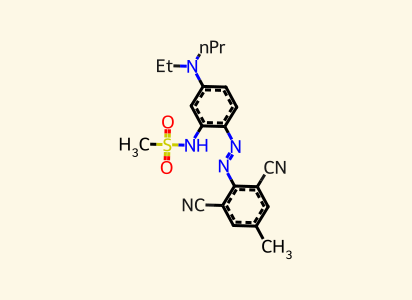 CCCN(CC)c1ccc(N=Nc2c(C#N)cc(C)cc2C#N)c(NS(C)(=O)=O)c1